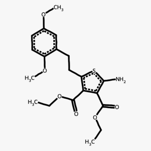 CCOC(=O)c1c(N)sc(CCc2cc(OC)ccc2OC)c1C(=O)OCC